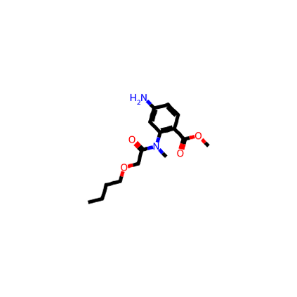 CCCCOCC(=O)N(C)c1cc(N)ccc1C(=O)OC